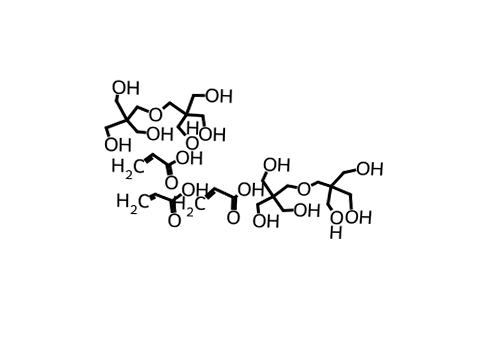 C=CC(=O)O.C=CC(=O)O.C=CC(=O)O.OCC(CO)(CO)COCC(CO)(CO)CO.OCC(CO)(CO)COCC(CO)(CO)CO